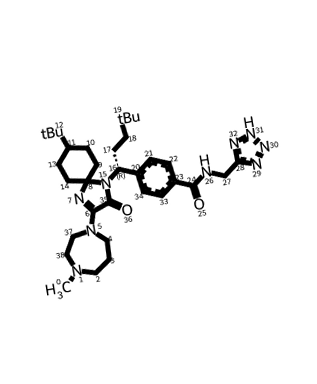 CN1CCCN(C2=NC3(CCC(C(C)(C)C)CC3)N([C@H](CCC(C)(C)C)c3ccc(C(=O)NCc4nn[nH]n4)cc3)C2=O)CC1